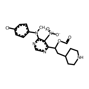 CN(c1ccc(Cl)cc1)c1ncnc(C(CC2CCNCC2)OC=O)c1[N+](=O)[O-]